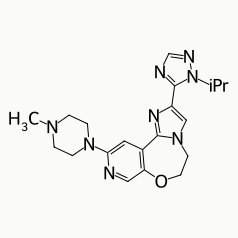 CC(C)n1ncnc1-c1cn2c(n1)-c1cc(N3CCN(C)CC3)ncc1OCC2